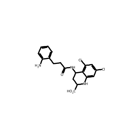 Nc1ccccc1CCC(=O)NC1CC(C(=O)O)Nc2cc(Cl)cc(Cl)c21